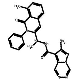 Cc1cccc2cc([C@H](C)NC(=O)c3c(N)nn4cnncc34)n(-c3ccccc3)c(=O)c12